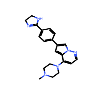 CN1CCN(c2ccnn3cc(-c4ccc(C5=NCCN5)cc4)cc23)CC1